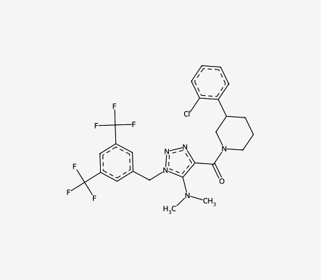 CN(C)c1c(C(=O)N2CCCC(c3ccccc3Cl)C2)nnn1Cc1cc(C(F)(F)F)cc(C(F)(F)F)c1